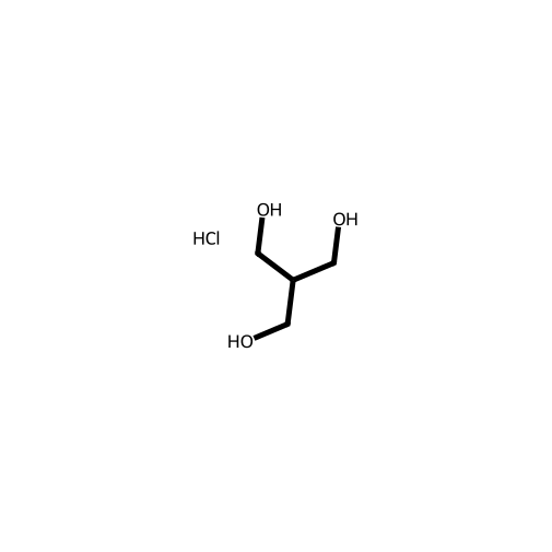 Cl.OCC(CO)CO